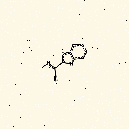 C/N=C(\C#N)c1nc2ccccc2s1